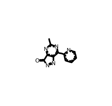 Cc1nc2c(c(-c3ccccn3)n1)N=NC2=O